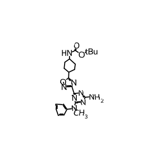 CN(c1ccccc1)c1nc(N)nc(-c2noc(C3CCC(NC(=O)OC(C)(C)C)CC3)n2)n1